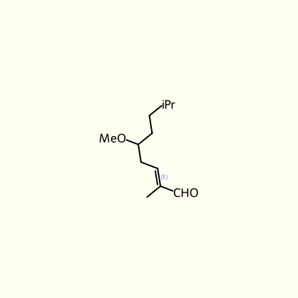 COC(C/C=C(\C)C=O)CCC(C)C